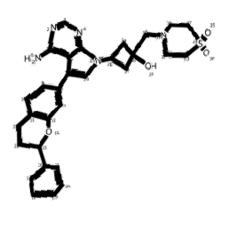 Nc1ncnc2c1c(-c1ccc3c(c1)OC(c1ccccc1)CC3)cn2C1CC(O)(CN2CCS(=O)(=O)CC2)C1